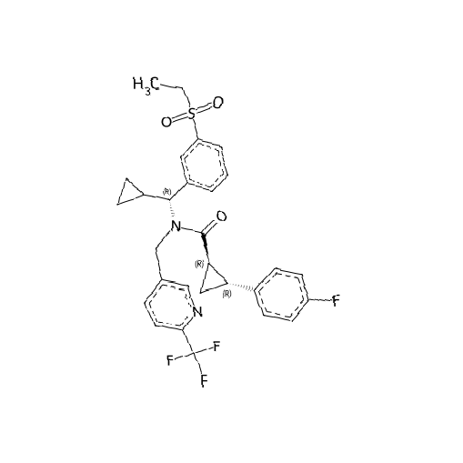 CCS(=O)(=O)c1cccc([C@@H](C2CC2)N(Cc2ccc(C(F)(F)F)nc2)C(=O)[C@@H]2C[C@H]2c2ccc(F)cc2)c1